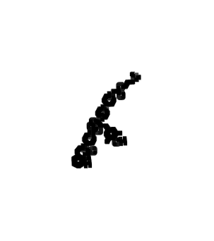 Cc1cc(C[C@@H](OC(=O)N2CCC(N3CCc4ccccc4NC3=O)CC2)C(=O)N2CCN(C3CCN(CC(=O)OCCCN(C)C)CC3)CC2)cc(C)c1O